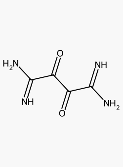 N=C(N)C(=O)C(=O)C(=N)N